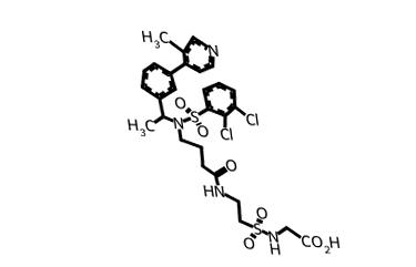 Cc1cnccc1-c1cccc(C(C)N(CCCC(=O)NCCS(=O)(=O)NCC(=O)O)S(=O)(=O)c2cccc(Cl)c2Cl)c1